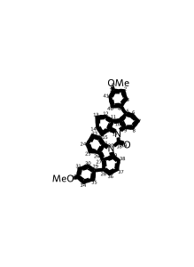 COc1ccc(-c2cccc3c2c2ccccc2n3C(=O)n2c3ccccc3c3c(-c4ccc(OC)cc4)cccc32)cc1